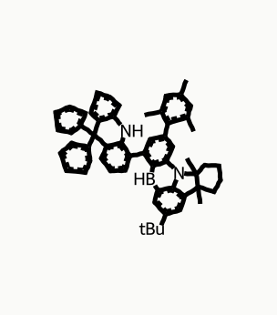 Cc1cc(C)c(-c2cc(-c3cccc4c3Nc3ccccc3C4(c3ccccc3)c3ccccc3)c3c(c2)N2c4c(cc(C(C)(C)C)cc4C4(C)CCCCC24C)B3)c(C)c1